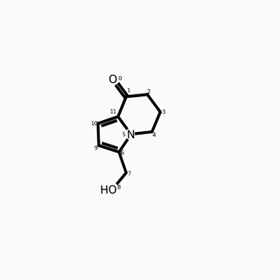 O=C1CCCn2c(CO)ccc21